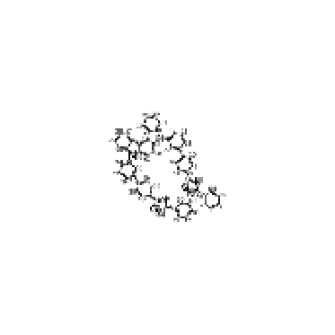 c1ccc(-c2noc(-c3ccc(-c4cccc(-n5c6ccccc6c6c7c8ccccc8n(-c8cccc(-c9ccc(-c%10nc(-c%11ccccc%11)no%10)cc9)c8)c7ccc65)c4)cc3)n2)cc1